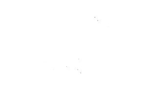 N#CC1(COc2ccc3c(Cl)nccc3c2)CC(F)(F)C1